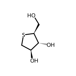 OC[C@@H]1SC[C@H](O)[C@H]1O